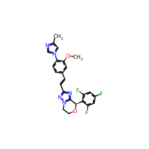 COc1cc(/C=C/c2nc3n(n2)CCO[C@@H]3c2c(F)cc(F)cc2F)ccc1-n1cnc(C)c1